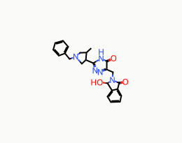 CC1CN(Cc2ccccc2)CC1c1nnc(CN2C(=O)c3ccccc3C2O)c(=O)[nH]1